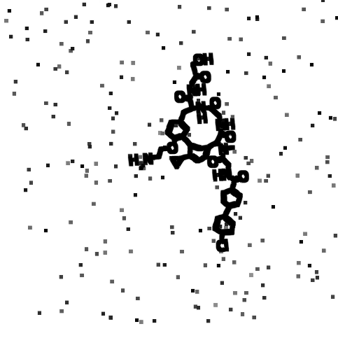 CN(C(=O)CNC(=O)c1ccc(-c2ccc(Cl)cc2)cc1)C1C(=O)NCC(=O)NC(C(=O)NCC(=O)CO)Cc2ccc(OCCN)c(c2)-c2cc1ccc2C1CC1